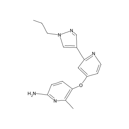 CCCn1cc(-c2cc(Oc3ccc(N)nc3C)ccn2)cn1